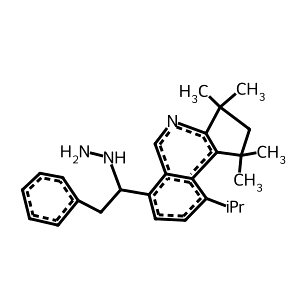 CC(C)c1ccc(C(Cc2ccccc2)NN)c2cnc3c(c12)C(C)(C)CC3(C)C